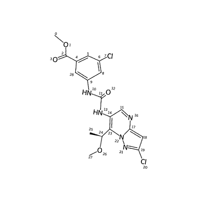 COC(=O)c1cc(Cl)cc(NC(=O)Nc2cnc3cc(Cl)nn3c2[C@H](C)OC)c1